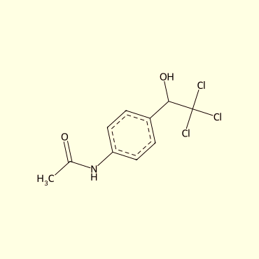 CC(=O)Nc1ccc(C(O)C(Cl)(Cl)Cl)cc1